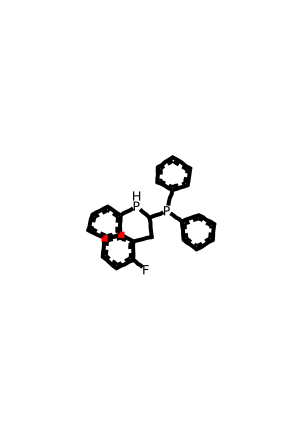 Fc1ccccc1CC(Pc1ccccc1)P(c1ccccc1)c1ccccc1